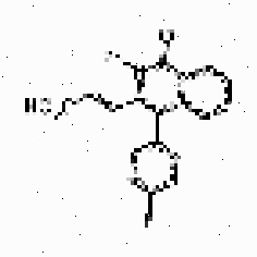 CC(C)n1c(/C=C/C(=O)O)c(-c2ccc(F)cc2)c2ccccc2c1=O